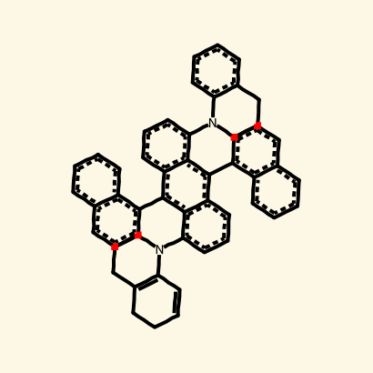 C1=CC2=C(CC1)CCCN2c1cccc2c(-c3cccc4ccccc34)c3c(N4CCCc5ccccc54)cccc3c(-c3cccc4ccccc34)c12